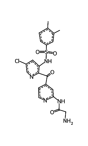 Cc1ccc(S(=O)(=O)Nc2cc(Cl)cnc2C(=O)c2ccnc(NC(=O)CN)c2)cc1C